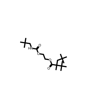 CC(C)(C)CNC(=O)OCCOC(=O)C(C)(CC(C)(C)C)C(C)(C)C